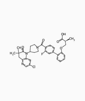 C[C@@H](COc1ccccc1-c1ccc(C(=O)N2CCC(N3C(=O)C(C)(C)Cc4ncc(Cl)cc43)CC2)c(F)c1)C(=O)O